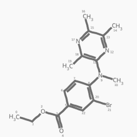 CCOC(=O)c1ccc(N(C)c2nc(C)c(C)nc2C)c(Br)c1